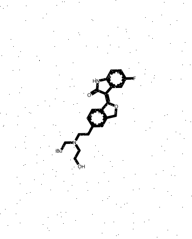 CCC(C)CN(CCO)CCc1ccc2c(c1)COC2=C1C(=O)Nc2ccc(F)cc21